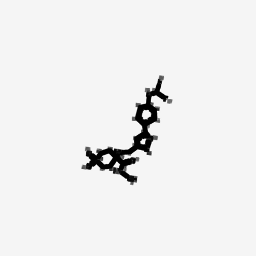 O=C(NO)C1(NCc2cc(-c3ccc(OC(F)F)cc3)on2)CCS(=O)(=O)CC1